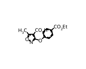 CCOC(=O)c1ccc(Oc2noc(C)c2C(=O)O)cc1